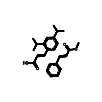 CC(C)c1ccc(/C=C/C(=O)O)c(C(C)C)c1.COC(=O)/C=C/c1ccccc1